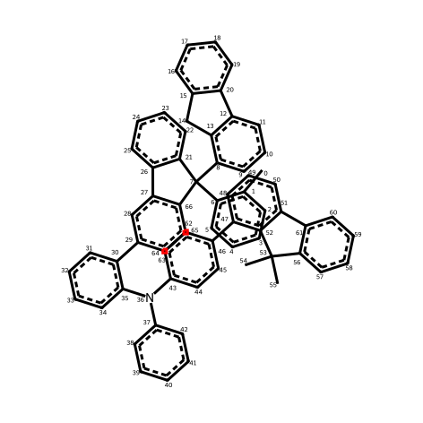 Cc1ccccc1C1(c2cccc3c2Cc2ccccc2-3)c2ccccc2-c2cc(-c3ccccc3N(c3ccccc3)c3ccc(-c4cccc5c4C(C)(C)c4ccccc4-5)cc3)ccc21